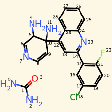 NC(N)=O.NC1C=NC=CC1(N)c1cc(-c2cc(Cl)ccc2F)nc2ccccc12